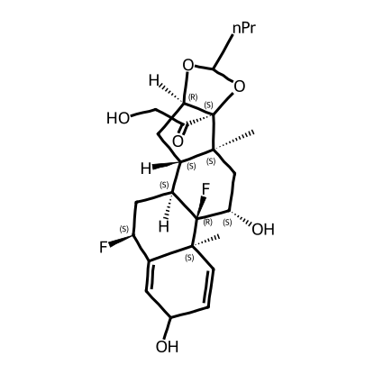 CCCC1O[C@@H]2C[C@H]3[C@@H]4C[C@H](F)C5=CC(O)C=C[C@]5(C)[C@@]4(F)[C@@H](O)C[C@]3(C)[C@]2(C(=O)CO)O1